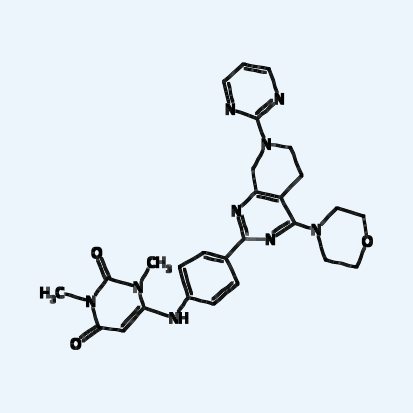 Cn1c(Nc2ccc(-c3nc4c(c(N5CCOCC5)n3)CCN(c3ncccn3)C4)cc2)cc(=O)n(C)c1=O